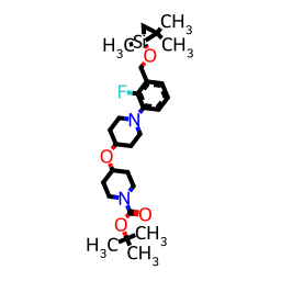 CC(C)(C)OC(=O)N1CCC(OC2CCN(c3cccc(CO[Si]4(C)CC4(C)C)c3F)CC2)CC1